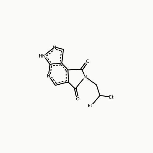 CCC(CC)CN1C(=O)c2cnc3[nH]ncc3c2C1=O